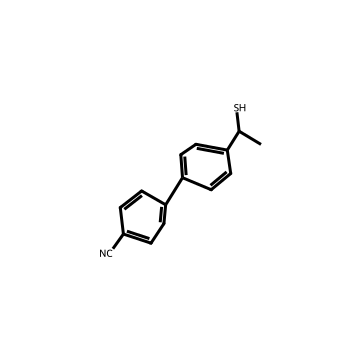 CC(S)c1ccc(-c2ccc(C#N)cc2)cc1